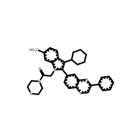 O=C(O)c1ccc2c(C3CCCCC3)c(-c3ccc4ncc(-c5ccccc5)nc4c3)n(CC(=O)N3CCOCC3)c2c1